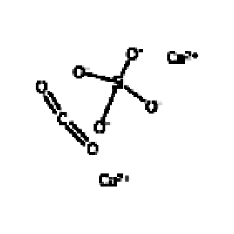 O=C=O.[Ca+2].[Ca+2].[O-][Si]([O-])([O-])[O-]